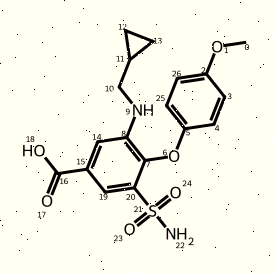 COc1ccc(Oc2c(NCC3CC3)cc(C(=O)O)cc2S(N)(=O)=O)cc1